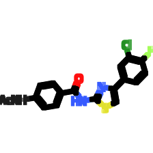 CC(=O)Nc1ccc(C(=O)Nc2nc(-c3ccc(F)c(Cl)c3)cs2)cc1